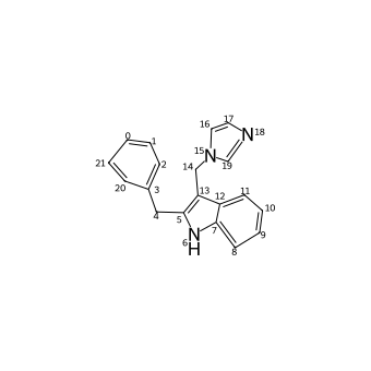 c1ccc(Cc2[nH]c3ccccc3c2Cn2ccnc2)cc1